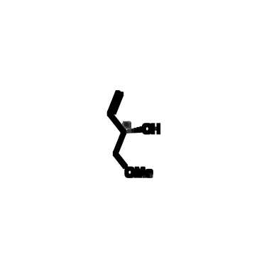 C=C[C@H](O)COC